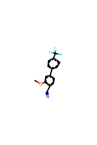 COc1cc(-c2ccc(C(F)(F)F)cc2)ccc1C#N